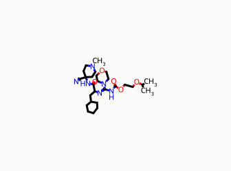 CC(C)OCCOC(=O)N/C(=N/C(CC1CCCCC1)C(=O)NC1(C#N)CCN(C)CC1)N1CCOCC1